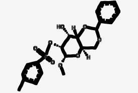 CO[C@H]1O[C@@H]2COC(c3ccccc3)O[C@H]2[C@@H](O)[C@H]1OS(=O)(=O)c1ccc(C)cc1